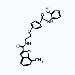 Cc1cccc2cc(C(=O)NCCOc3ccc(C(=O)Nc4ccccc4N)cc3)oc12